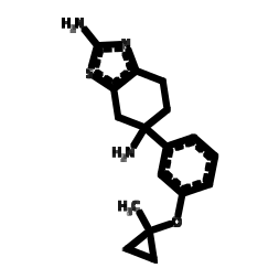 CC1(Oc2cccc(C3(N)CCc4nc(N)sc4C3)c2)CC1